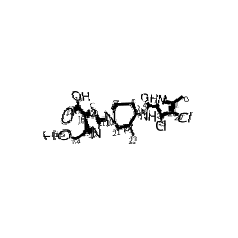 Cc1[nH]c(C(=O)N[C@@H]2CCN(c3nc(CO)c(C(=O)O)s3)C[C@@H]2C)c(Cl)c1Cl